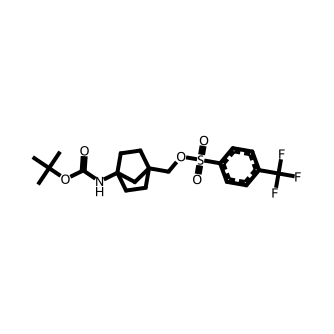 CC(C)(C)OC(=O)NC12CCC(COS(=O)(=O)c3ccc(C(F)(F)F)cc3)(CC1)C2